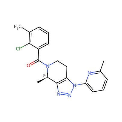 Cc1cccc(-n2nnc3c2CCN(C(=O)c2cccc(C(F)(F)F)c2Cl)[C@@H]3C)n1